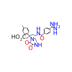 Cc1ccc(C(CCNC(=O)c2ccc(C(=N)N)cc2)(CC(=O)O)N2CCNC(=O)C2=O)cc1